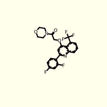 O=C(COc1cc(-c2ccc(F)cc2F)nc2cccc(C(F)(F)F)c12)N1CCOCC1